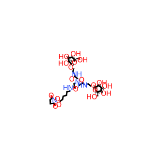 O=C(CN(CC(=O)NCCO[C@@H]1O[C@H](CO)[C@@H](O)[C@H](O)[C@H]1O)CC(=O)NCCO[C@@H]1O[C@H](CO)[C@@H](O)[C@H](O)[C@H]1O)NCCCCCC(=O)ON1C(=O)CCC1=O